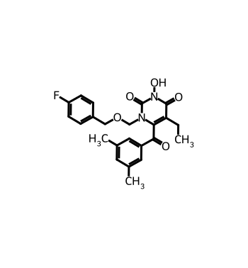 CCc1c(C(=O)c2cc(C)cc(C)c2)n(COCc2ccc(F)cc2)c(=O)n(O)c1=O